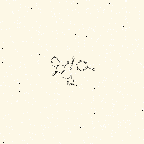 O=C1C(Sc2nc[nH]n2)=C/C(=N\S(=O)(=O)c2ccc(Cl)cc2)c2ccccc21